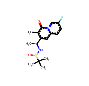 Cc1c([C@H](C)N[S+]([O-])C(C)(C)C)cc2ccc(F)cn2c1=O